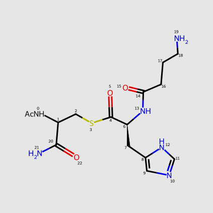 CC(=O)NC(CSC(=O)[C@H](Cc1cnc[nH]1)NC(=O)CCCN)C(N)=O